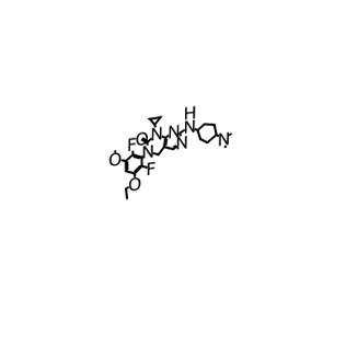 CCOc1cc(OC)c(F)c(N2Cc3cnc(NC4CCC(N(C)C)CC4)nc3N(C3CC3)C2=O)c1F